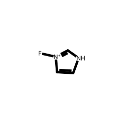 F[n+]1cc[nH]c1